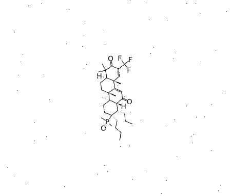 CCCC[C@]1(P(C)(C)=O)CC[C@]2(C)[C@H](C(=O)C=C3[C@@]4(C)C=C(C(F)(F)F)C(=O)C(C)(C)[C@@H]4CC[C@]32C)[C@@H]1CCC